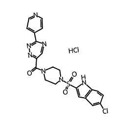 Cl.O=C(c1cnc(-c2ccncc2)nn1)N1CCN(S(=O)(=O)c2cc3cc(Cl)ccc3[nH]2)CC1